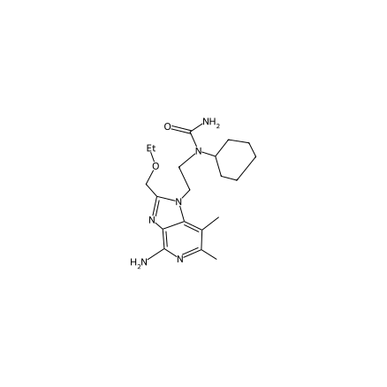 CCOCc1nc2c(N)nc(C)c(C)c2n1CCN(C(N)=O)C1CCCCC1